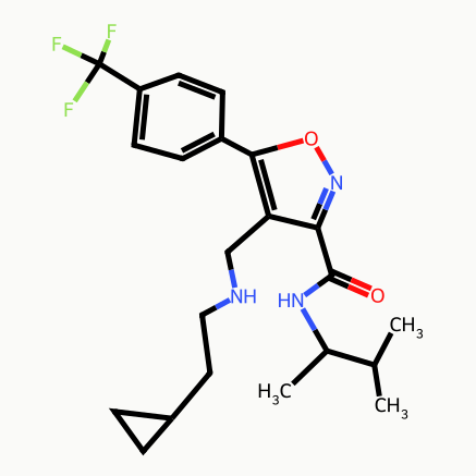 CC(C)C(C)NC(=O)c1noc(-c2ccc(C(F)(F)F)cc2)c1CNCCC1CC1